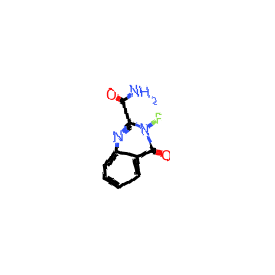 NC(=O)c1nc2ccccc2c(=O)n1F